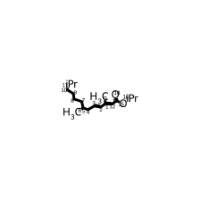 CC(/C=C/CC(C)CCCCC(C)C)=C\C(=O)OC(C)C